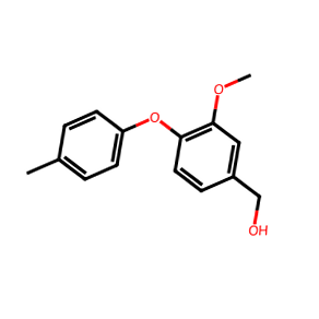 COc1cc(CO)ccc1Oc1ccc(C)cc1